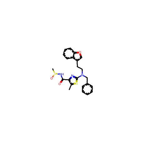 Cc1sc(N(CCc2coc3ccccc23)Cc2ccccc2)nc1C(=O)N[S+](C)[O-]